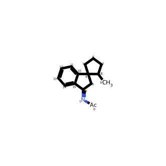 CC(=O)/N=C1\CC2(CCCC2C)c2ccccc21